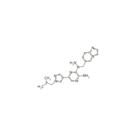 CP(C)Cn1cc(-c2cnc(N)c(N(N)Cc3ccc4nccn4c3)n2)cn1